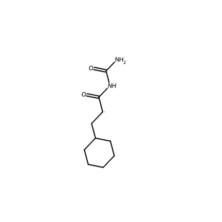 NC(=O)NC(=O)[CH]CC1CCCCC1